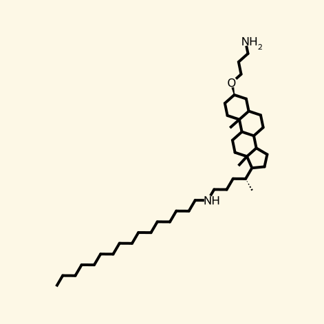 CCCCCCCCCCCCCCCCNCCC[C@@H](C)C1CCC2C3CCC4C[C@H](OCCCN)CCC4(C)C3CCC21C